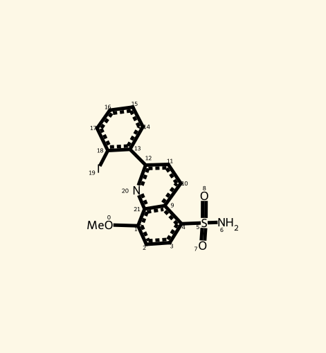 COc1ccc(S(N)(=O)=O)c2ccc(-c3ccccc3I)nc12